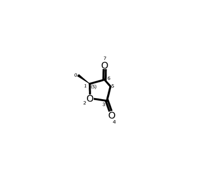 C[C@@H]1OC(=O)CC1=O